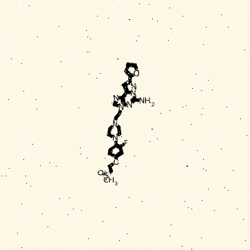 C[S@+]([O-])CCOc1ccc(N2CCN(CCn3cnc4c3nc(N)n3nc(-c5ccco5)cc43)CC2)c(F)c1